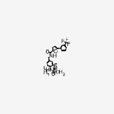 Cc1cc(CNC(=O)c2ccc(-c3cccc(C(F)(F)F)c3)o2)cc(F)c1NS(C)(=O)=O